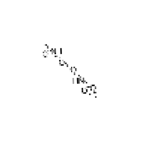 CCC(=O)NCCOCCOCCNCC(=O)OC(C)(C)C